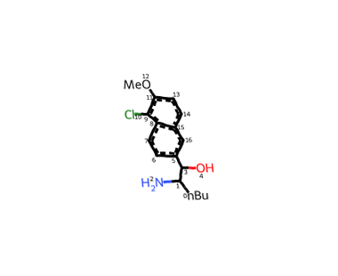 CCCCC(N)C(O)c1ccc2c(Cl)c(OC)ccc2c1